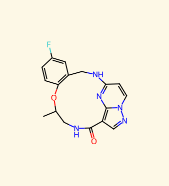 CC1CNC(=O)c2cnn3ccc(nc23)NCc2cc(F)ccc2O1